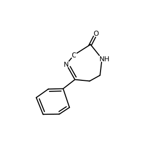 O=C1CN=C(c2ccccc2)CCN1